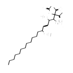 CCCCCCCCCCCCC(O)/C=C/C(O)C(N)C(OC(C)=O)(C(C)=O)C(C)=O